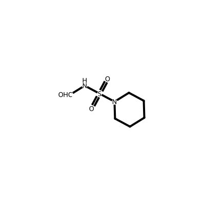 O=CNS(=O)(=O)N1CCCCC1